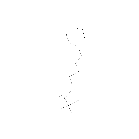 CC(F)(F)C(=O)OCCCCN1CCOCC1